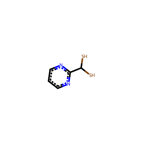 SC(S)c1ncccn1